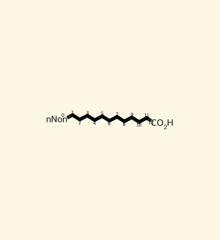 [CH2]CCCCCCCCCCCCCCCCCCCC(=O)O